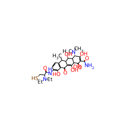 CCN(CC)C(CS)C(=O)Nc1ccc2c(c1O)C(=O)C1=C(O)[C@]3(O)C(=O)C(C(N)=O)=C(O)[C@@H](N(C)C)C3C(O)C1C2C